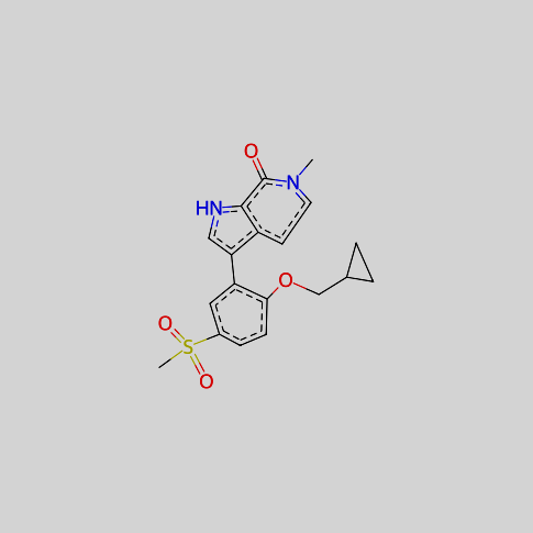 Cn1ccc2c(-c3cc(S(C)(=O)=O)ccc3OCC3CC3)c[nH]c2c1=O